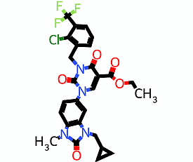 CCOC(=O)c1cn(-c2ccc3c(c2)n(CC2CC2)c(=O)n3C)c(=O)n(Cc2cccc(C(F)(F)F)c2Cl)c1=O